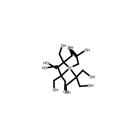 O=C(O)C[N+](C(CO)(CO)CO)(C(CO)(CO)CO)C(CO)(CO)CO